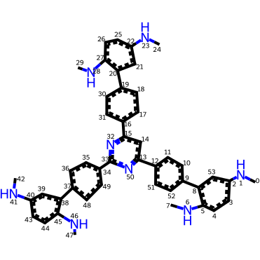 CNc1ccc(NC)c(-c2ccc(-c3cc(-c4ccc(-c5cc(NC)ccc5NC)cc4)nc(-c4ccc(-c5cc(NC)ccc5NC)cc4)n3)cc2)c1